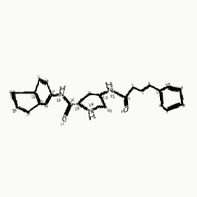 O=C(CCCc1ccccc1)NC1CN[C@H](C(=O)Nc2ccc3c(c2)CCC3)C1